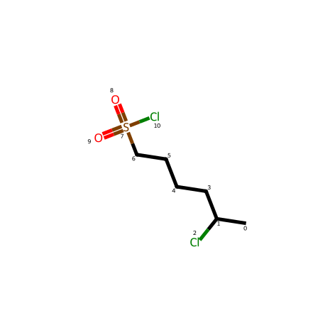 CC(Cl)CCCCS(=O)(=O)Cl